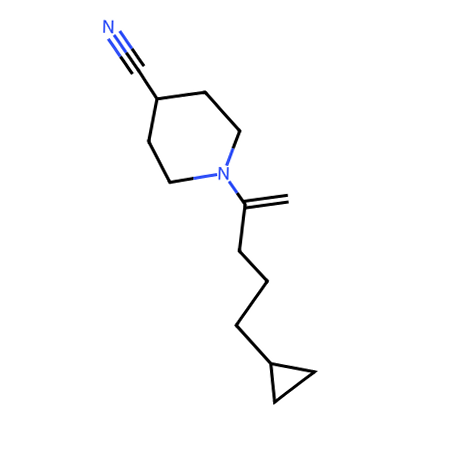 C=C(CCCC1CC1)N1CCC(C#N)CC1